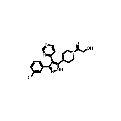 O=C(CO)N1CCC(c2[nH]nc(-c3cccc(Cl)c3)c2-c2ccncn2)CC1